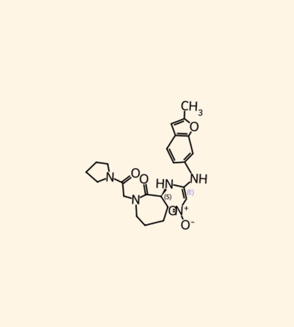 Cc1cc2ccc(N/C(=C/[N+](=O)[O-])N[C@H]3CCCCN(CC(=O)N4CCCC4)C3=O)cc2o1